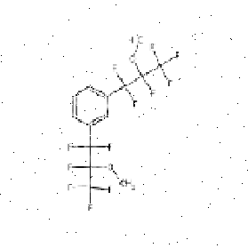 COC(F)(C(F)(F)F)C(F)(F)c1cccc(C(F)(F)C(F)(OC)C(F)(F)F)c1